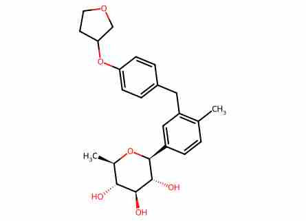 Cc1ccc([C@@H]2O[C@H](C)[C@@H](O)[C@H](O)[C@H]2O)cc1Cc1ccc(OC2CCOC2)cc1